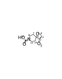 COC1=CCOC12CCN(C(=O)O)CC2